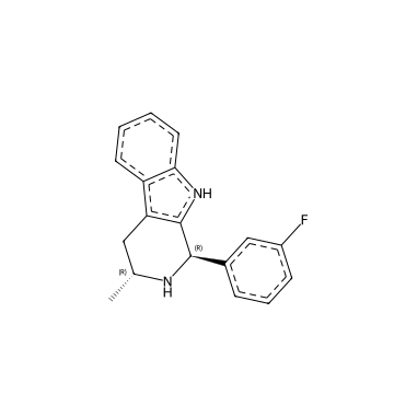 C[C@@H]1Cc2c([nH]c3ccccc23)[C@@H](c2cccc(F)c2)N1